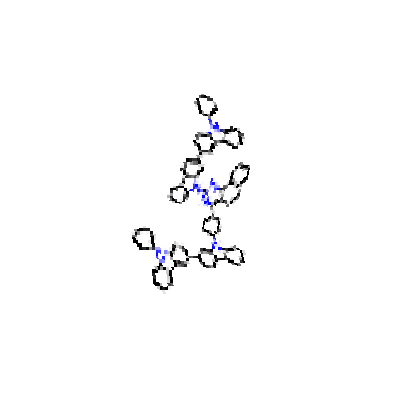 c1ccc(-n2c3ccccc3c3cc(-c4ccc5c6ccccc6n(-c6ccc(-c7nc(-n8c9ccccc9c9ccc(-c%10ccc%11c(c%10)c%10ccccc%10n%11-c%10ccccc%10)cc98)nc8c7ccc7ccccc78)cc6)c5c4)ccc32)cc1